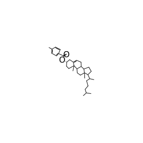 Cc1ccc(C(=O)O[C@H]2CCC3(C)C(=CCC4C3CCC3(C)C(C(C)CCCC(C)C)CCC43)C2)cc1